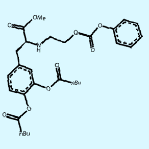 CCCCC(=O)Oc1ccc(C[C@H](NCCOC(=O)Oc2ccccc2)C(=O)OC)cc1OC(=O)CCCC